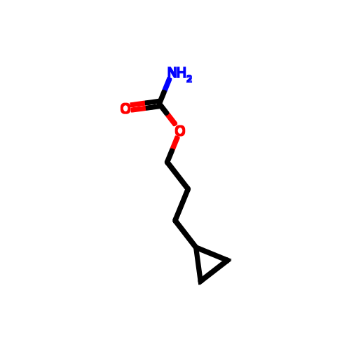 NC(=O)OCCCC1CC1